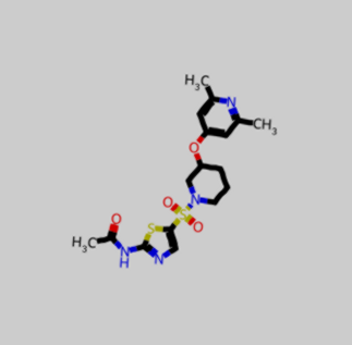 CC(=O)Nc1ncc(S(=O)(=O)N2CCCC(Oc3cc(C)nc(C)c3)C2)s1